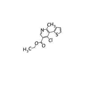 CCOC(=O)c1cnc(C)c(-c2cccs2)c1Cl